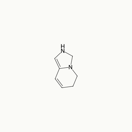 C1=CC2=CNCN2CC1